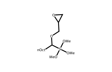 CCCCCCCCC(OCC1CO1)[Si](OC)(OC)OC